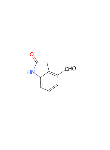 O=Cc1cccc2c1CC(=O)N2